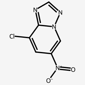 O=[N+]([O-])c1cc(Cl)c2ncnn2c1